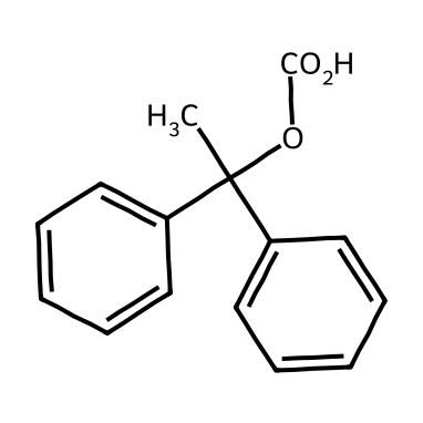 CC(OC(=O)O)(c1ccccc1)c1ccccc1